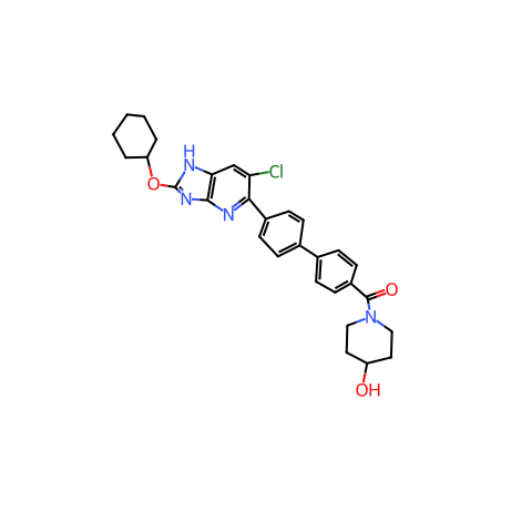 O=C(c1ccc(-c2ccc(-c3nc4nc(OC5CCCCC5)[nH]c4cc3Cl)cc2)cc1)N1CCC(O)CC1